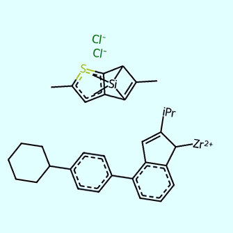 CC(C)C1=Cc2c(-c3ccc(C4CCCCC4)cc3)cccc2[CH]1[Zr+2].CC1=C2c3cc(C)sc3C1[Si]2(C)C.[Cl-].[Cl-]